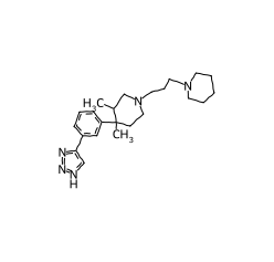 CC1CN(CCCN2CCCCC2)CCC1(C)c1cccc(-c2c[nH]nn2)c1